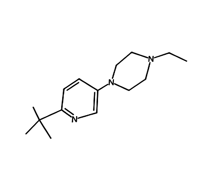 CCN1CCN(c2ccc(C(C)(C)C)nc2)CC1